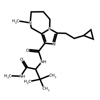 CNC(=O)C(NC(=O)c1nc(CCC2CC2)n2c1CN(C)CCC2)C(C)(C)C